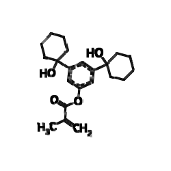 C=C(C)C(=O)Oc1cc(C2(O)CCCCC2)cc(C2(O)CCCCC2)c1